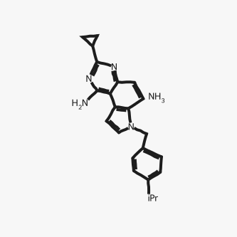 CC(C)c1ccc(Cn2ccc3c4c(N)nc(C5CC5)nc4ccc32)cc1.N